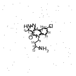 Cc1[nH]nc2c1c(=O)n(CCC(C)N)c1ccc(Cl)cc21